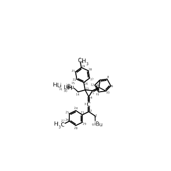 CCC(C)CC(=C=C1C(=C2C3=CC=C2C=C3)C1(CC(C)CC)c1ccc(C)cc1)c1ccc(C)cc1.[LiH].[LiH]